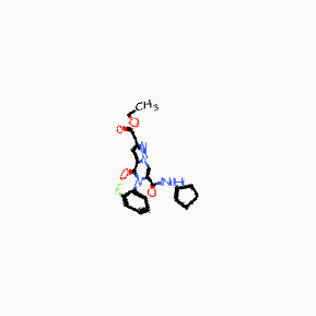 CCOC(=O)c1cc2c(=O)n(-c3ccccc3F)c(C(=O)NC3CCCC3)cn2n1